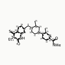 CCn1c(=O)[nH]c2cc(CN3CCN(c4ccc(C(=O)NC)nc4C)CC3C)ccc2c1=S